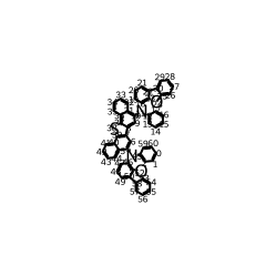 c1ccc(N(c2cc3c4cc(N(c5ccccc5)c5cccc6c5oc5ccccc56)c5ccccc5c4sc3c3ccccc23)c2cccc3c2oc2ccccc23)cc1